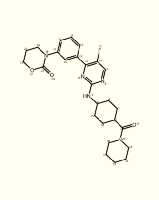 O=C(C1CCC(Nc2ncc(F)c(-c3cccc(N4CCCOC4=O)c3)n2)CC1)N1CCCCC1